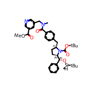 COC(=O)c1cncc(CN(C)C(=O)c2ccc(C[C@@H]3CC[C@H]([C@H](O[SiH](C)C(C)(C)C)c4ccccc4)N3C(=O)OC(C)(C)C)cc2)c1